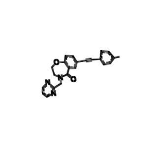 Cc1ccc(C#Cc2ccc3c(c2)C(=O)N(Cc2ncccn2)CCO3)cc1